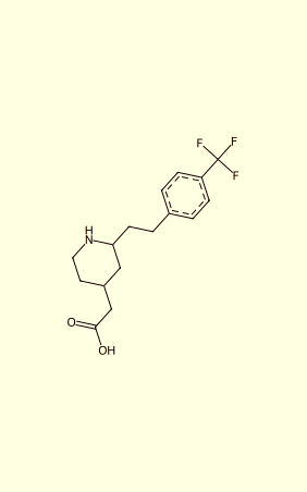 O=C(O)CC1CCNC(CCc2ccc(C(F)(F)F)cc2)C1